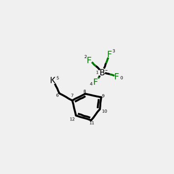 F[B-](F)(F)F.[K][CH2]c1ccccc1